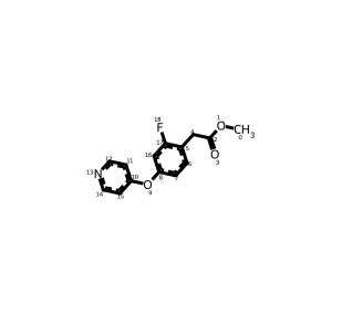 COC(=O)Cc1ccc(Oc2ccncc2)cc1F